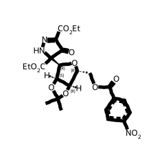 CCOC(=O)C1=NNC(C(=O)OCC)([C@H]2O[C@H](COC(=O)c3ccc([N+](=O)[O-])cc3)[C@H]3OC(C)(C)O[C@H]32)C1=O